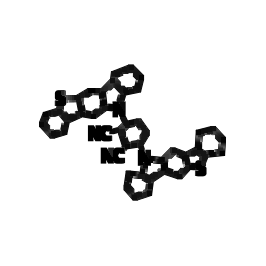 N#Cc1c(-n2c3ccccc3c3cc4sc5ccccc5c4cc32)ccc(-n2c3ccccc3c3cc4sc5ccccc5c4cc32)c1C#N